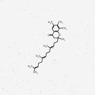 CC(C)=CCC/C(C)=C/CC/C(C)=C/CCC1(C)CC(=O)c2cc(P)c(C)c(C)c2O1